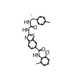 Cc1ccc([C@@H](C)NC(=O)Nc2nc3ccc(C(=O)Nc4c(C)cccc4Cl)cc3s2)cc1